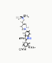 COc1ccc(-c2[nH]c3ccc(N4CCC(CCN(C)C)CC4)cc3c2C(C)C)cc1OC